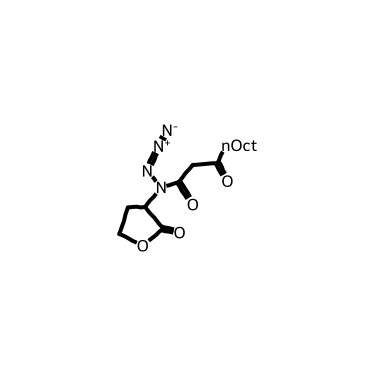 CCCCCCCCC(=O)CC(=O)N(N=[N+]=[N-])C1CCOC1=O